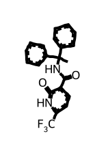 CC(NC(=O)c1ccc(C(F)(F)F)[nH]c1=O)(c1ccccc1)c1ccccc1